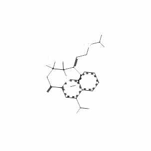 C=C1CC(C)(C)C(C)(/C(=C/CNC(C)C)COC)[n+]2c1cc(C(C)C)c1ccccc12